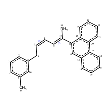 Cc1cccc(C/C=C\C=C(/N)c2cc3ccccc3c3ccccc23)c1